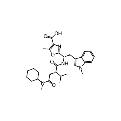 Cc1oc([C@@H](Cc2cn(C)c3ccccc23)NC(=O)[C@H](CC(=O)N(C)C2CCCCC2)C(C)C)nc1C(=O)O